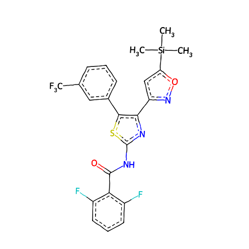 C[Si](C)(C)c1cc(-c2nc(NC(=O)c3c(F)cccc3F)sc2-c2cccc(C(F)(F)F)c2)no1